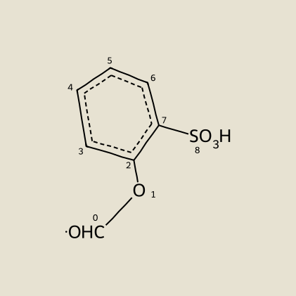 O=[C]Oc1ccccc1S(=O)(=O)O